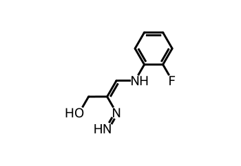 N=N/C(=C\Nc1ccccc1F)CO